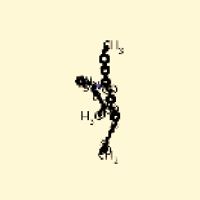 C=CC(=O)OCCCCCCOc1ccc(OC(=O)C2CCC(C(=O)Oc3ccc(-c4ccc(C5CCC(CCC)CC5)cc4)cc3/C=N/N(CCOCCOCCOC)c3nc4ccccc4s3)CC2)cc1